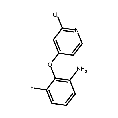 Nc1cccc(F)c1Oc1ccnc(Cl)c1